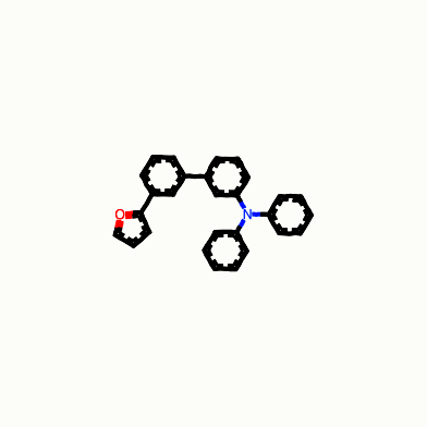 c1ccc(N(c2ccccc2)c2cccc(-c3cccc(-c4ccco4)c3)c2)cc1